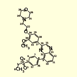 CCS(=O)(=O)c1ccc(-c2cccc3ncc(-c4ccc(OCCN5CCOCC5)c(OC)c4)nc23)cc1